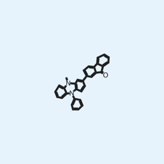 CN1c2ccccc2N(c2ccccc2)c2ccc(-c3ccc4c(c3)C(=O)c3ccccc3-4)cc21